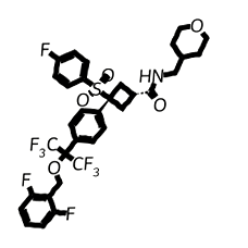 O=C(NCC1CCOCC1)[C@H]1C[C@@](c2ccc(C(OCc3c(F)cccc3F)(C(F)(F)F)C(F)(F)F)cc2)(S(=O)(=O)c2ccc(F)cc2)C1